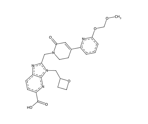 COCOc1cccc(C2=CC(=O)N(Cc3nc4ccc(C(=O)O)nc4n3CC3CCO3)CC2)n1